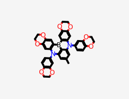 Cc1cc2c3c(c1)N(c1ccc4c(c1)OCCO4)c1cc4c(cc1B3c1cc3c(cc1N2c1ccc2c(c1)OCCO2)OCCO3)OCCO4